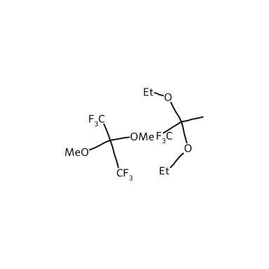 CCOC(C)(OCC)C(F)(F)F.COC(OC)(C(F)(F)F)C(F)(F)F